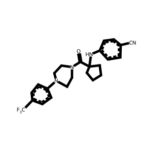 N#Cc1ccc(NC2(C(=O)N3CCN(c4ccc(C(F)(F)F)cc4)CC3)CCCC2)cc1